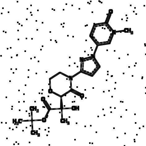 Cn1cc(-n2ccc(N3CCO[C@H](C(C)(O)C(=O)OC(C)(C)C)C3=O)n2)ccc1=O